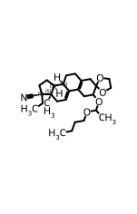 CCCCOC(C)OC1CC2=C(CC[C@@H]3C2=CC[C@@]2(C)[C@H]3CC[C@@]2(C#N)CC)CC12OCCO2